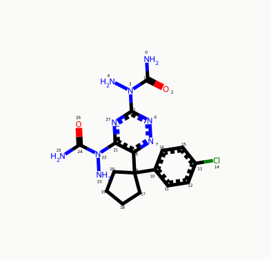 NC(=O)N(N)c1nnc(C2(c3ccc(Cl)cc3)CCCC2)c(N(N)C(N)=O)n1